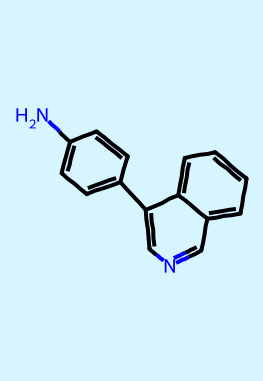 Nc1ccc(-c2cncc3ccccc23)cc1